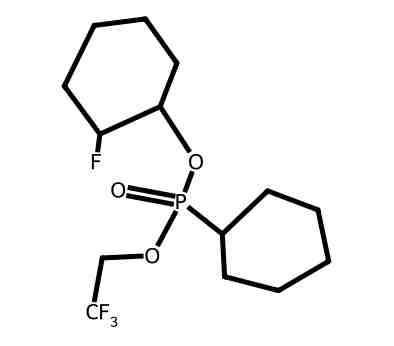 O=P(OCC(F)(F)F)(OC1CCCCC1F)C1CCCCC1